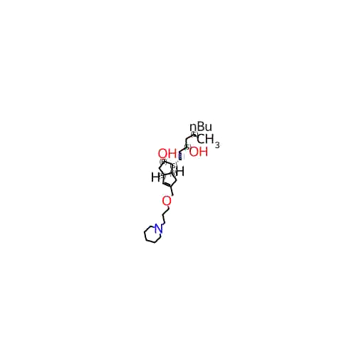 CCCC[C@H](C)C[C@H](O)/C=C/[C@@H]1[C@H]2CC(COCCCN3CCCCC3)=C[C@H]2C[C@H]1O